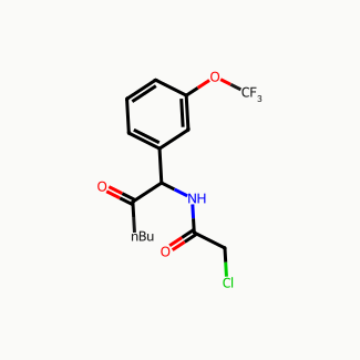 CCCCC(=O)C(NC(=O)CCl)c1cccc(OC(F)(F)F)c1